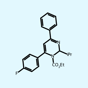 CCOC(=O)N1C(c2ccc(F)cc2)=CC(c2ccccc2)=NC1C(C)C